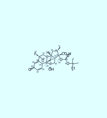 CCC(C)(C)OC(=O)O[C@@]1(C(=O)O)[C@H](C)C[C@H]2[C@@H]3C[C@H](F)C4=CC(=O)C=C[C@]4(C)[C@@]3(F)[C@@H](O)C[C@@]21C